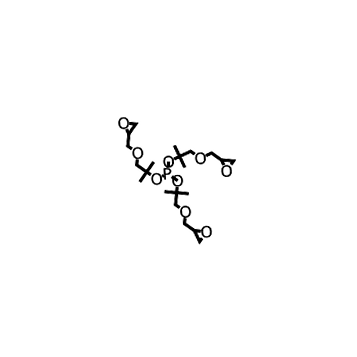 CC(C)(COCC1CO1)OP(OC(C)(C)COCC1CO1)OC(C)(C)COCC1CO1